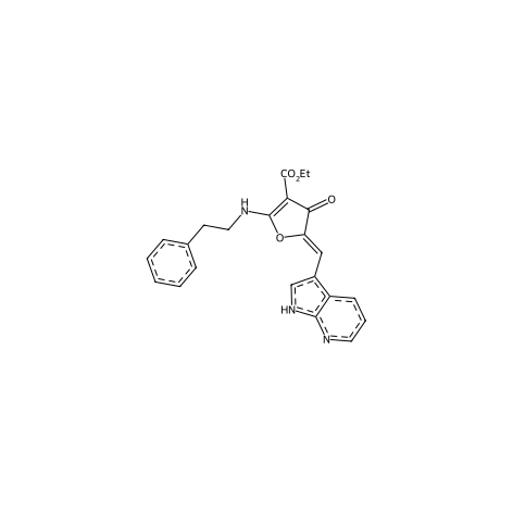 CCOC(=O)C1=C(NCCc2ccccc2)O/C(=C\c2c[nH]c3ncccc23)C1=O